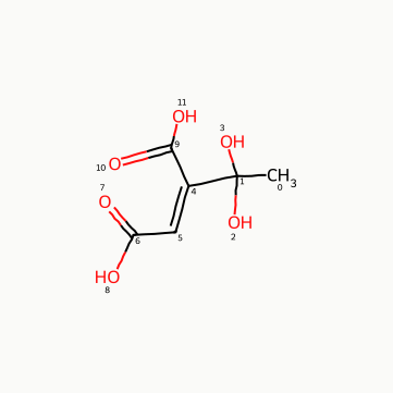 CC(O)(O)/C(=C/C(=O)O)C(=O)O